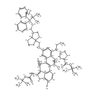 CCN(c1nc(OCC23CCCN2C(CO[Si](c2ccccc2)(c2ccccc2)C(C)(C)C)CC3)nc2c(F)c(-c3ccc(F)c4sc(NC(=O)OC(C)(C)C)c(C#N)c34)c(Cl)cc12)[C@@H]1CCN(C(=O)OC(C)(C)C)[C@@H]1C